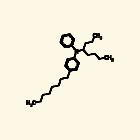 CCCCCCCCc1ccc(N(c2ccccc2)C(CCC)CCCC)cc1